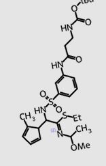 CCS/C(=N\C(C)OC)C(NS(=O)(=O)c1cccc(NC(=O)CCNC(=O)OC(C)(C)C)c1)C1C=CC=C1C